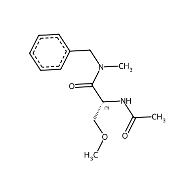 COC[C@@H](NC(C)=O)C(=O)N(C)Cc1ccccc1